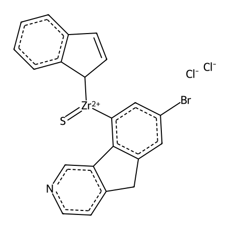 [Cl-].[Cl-].[S]=[Zr+2]([c]1cc(Br)cc2c1-c1cnccc1C2)[CH]1C=Cc2ccccc21